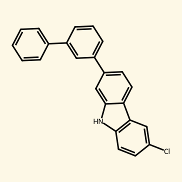 Clc1ccc2[nH]c3cc(-c4cccc(-c5ccccc5)c4)ccc3c2c1